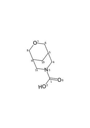 O=C(O)N1CC2COCC(C2)C1